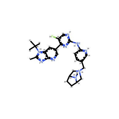 Cc1nc2ncc(-c3nc(Nc4ccc(CN5CC6CCC(C5)N6C)cn4)ncc3F)cc2n1C(C)(C)C